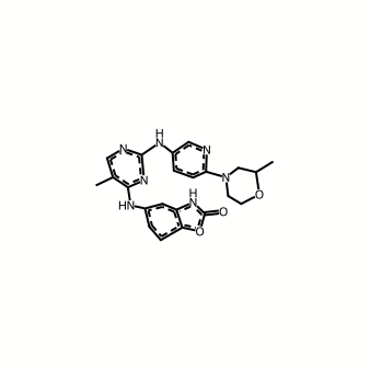 Cc1cnc(Nc2ccc(N3CCOC(C)C3)nc2)nc1Nc1ccc2oc(=O)[nH]c2c1